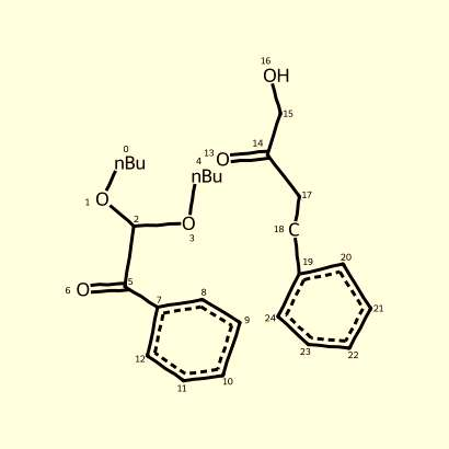 CCCCOC(OCCCC)C(=O)c1ccccc1.O=C(CO)CCc1ccccc1